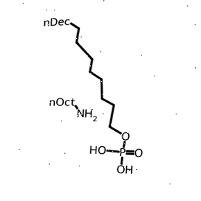 CCCCCCCCCCCCCCCCCCOP(=O)(O)O.CCCCCCCCN